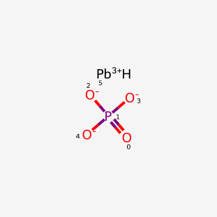 O=P([O-])([O-])[O-].[PbH+3]